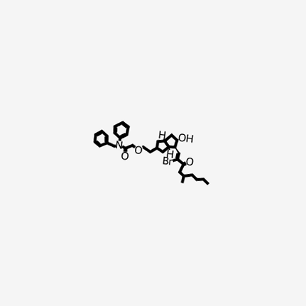 CCCCC(C)CC(=O)C(Br)=C[C@H]1[C@@H]2CC(CCOCC(=O)N(Cc3ccccc3)c3ccccc3)C[C@H]2C[C@@H]1O